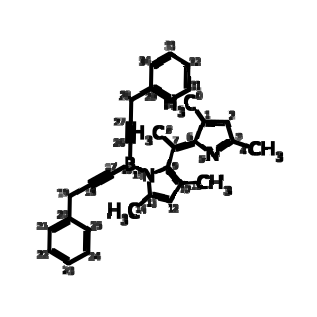 CC1=CC(C)=N/C1=C(/C)c1c(C)cc(C)n1B(C#CCc1ccccc1)C#CCc1ccccc1